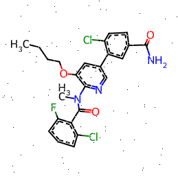 CCCCOc1cc(-c2cc(C(N)=O)ccc2Cl)cnc1N(C)C(=O)c1c(F)cccc1Cl